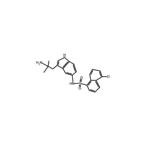 CC(C)(N)Cc1c[nH]c2ccc(NS(=O)(=O)c3cccc4c(Cl)cccc34)cc12